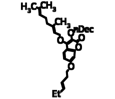 CC/C=C/CCOc1ccc2c(OC/C=C(\C)CCC=C(C)C)c(OCCCCCCCCCC)c(=O)oc2c1